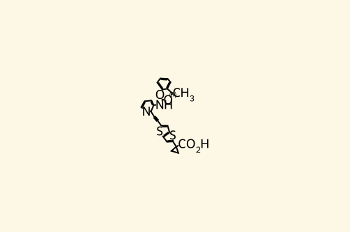 C[C@@H](OC(=O)Nc1cccnc1C#Cc1cc2sc(C3(C(=O)O)CC3)cc2s1)c1ccccc1